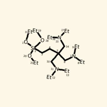 CCO[Si](CCC(CN(CC)CC)(CN(CC)CC)CN(CC)CC)(OCC)OCC